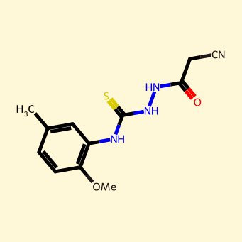 COc1ccc(C)cc1NC(=S)NNC(=O)CC#N